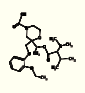 CCOc1ccccc1OCC1(C(C)OC(=O)C(C(C)C)N(C)C)CN(C(=O)O)CCO1